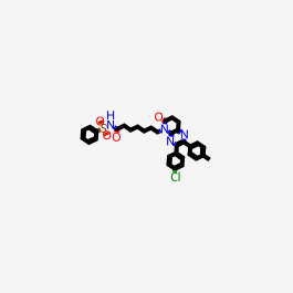 Cc1ccc(-c2nc3c(nc2-c2ccc(Cl)cc2)N(CCCCCCC(=O)NS(=O)(=O)c2ccccc2)C(=O)CC3)cc1